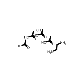 C.CC(=O)O.CC(=O)O.CC(=O)O.CC(=O)O.NCCN.[Ti]